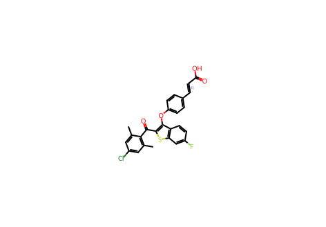 Cc1cc(Cl)cc(C)c1C(=O)c1sc2cc(F)ccc2c1Oc1ccc(/C=C/C(=O)O)cc1